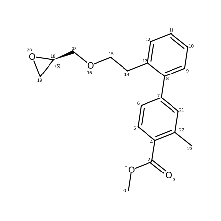 COC(=O)c1ccc(-c2ccccc2CCOC[C@H]2CO2)cc1C